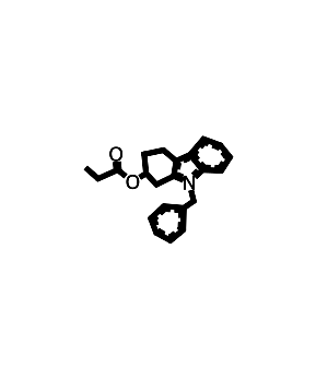 CCC(=O)OC1CCc2c(n(Cc3ccccc3)c3ccccc23)C1